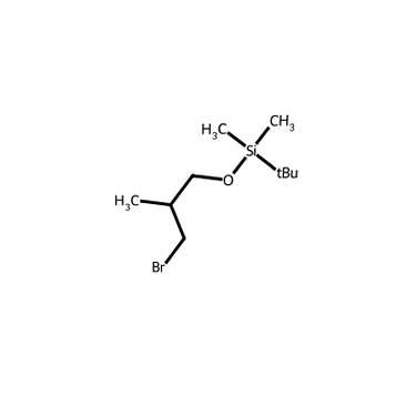 CC(CBr)CO[Si](C)(C)C(C)(C)C